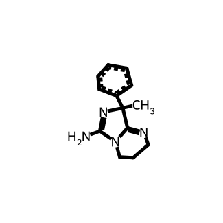 CC1(c2ccccc2)N=C(N)N2CCCN=C21